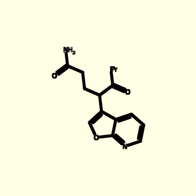 CC(C)C(=O)C(CCC(N)=O)c1coc2ncccc12